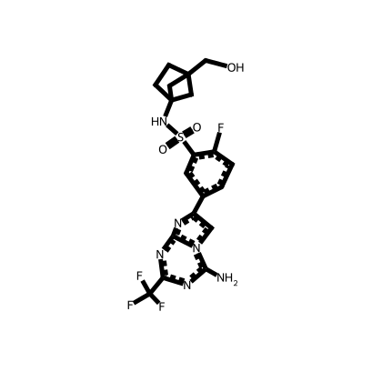 Nc1nc(C(F)(F)F)nc2nc(-c3ccc(F)c(S(=O)(=O)NC45CCC(CO)(C4)C5)c3)cn12